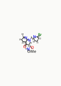 CON(C)C(=O)c1cn(Cc2cccc(Br)n2)c2nc(C)ccc2c1=O